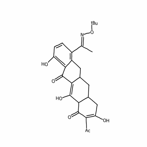 CC(=O)C1=C(O)CC2CC3Cc4c(/C(C)=N/OC(C)(C)C)ccc(O)c4C(=O)C3=C(O)C2C1=O